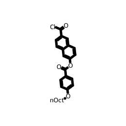 CCCCCCCCOc1ccc(C(=O)Oc2ccc3cc(C(=O)Cl)ccc3c2)cc1